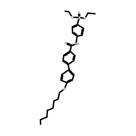 CCCCCCCCOc1ccc(-c2ccc(C(=O)Nc3ccc(P(=O)(OCC)OCC)cc3)cc2)cc1